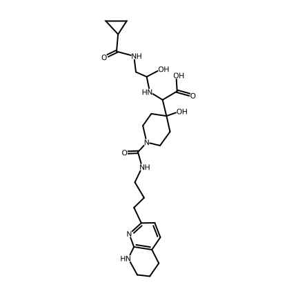 O=C(NCC(O)NC(C(=O)O)C1(O)CCN(C(=O)NCCCc2ccc3c(n2)NCCC3)CC1)C1CC1